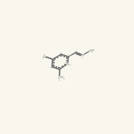 Cc1cc(Cl)cc(C=NO)n1